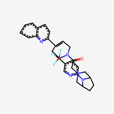 O=C(CN1CC2CCC(C1)N2c1ccc(C(F)(F)F)cn1)N1CC=C(c2ccc3ccccc3n2)CC1